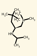 CC(C)N[C@H](CN(C)C)CC(C)(C)C